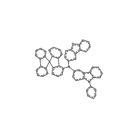 c1ccc(-n2c3ccccc3c3cc(N(c4ccc5oc6ccccc6c5c4)c4cccc5c4-c4ccccc4C54c5ccccc5-c5ccccc54)ccc32)cc1